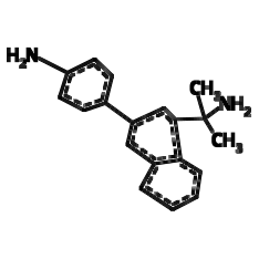 CC(C)(N)c1cc(-c2ccc(N)cc2)cc2ccccc12